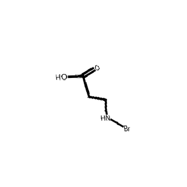 O=C(O)CCNBr